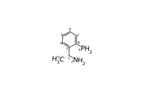 C[C@@H](N)c1ccccc1P